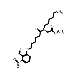 CCCCCCN(CC(=O)OC)C(=O)CCCCCOc1cccc([N+](=O)[O-])c1C=O